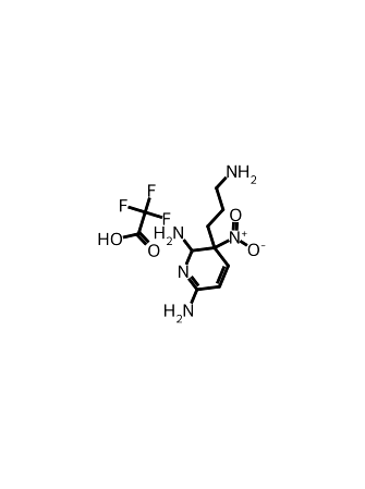 NCCCC1([N+](=O)[O-])C=CC(N)=NC1N.O=C(O)C(F)(F)F